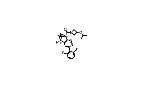 CC(C)OC1CN(C(=O)[C@]23CC[C@H](c4cc(-c5c(F)cccc5F)nnc42)C3(C)C)C1